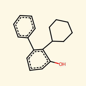 Oc1cccc(-c2ccccc2)c1C1CCCCC1